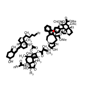 C/C=C(/C)C(=O)O[C@H]1C(C)=C2[C@H]([C@@H]1OC(=O)CCCCCCC)[C@@](C)(OC(C)=O)C[C@H](OC(=O)CCC)[C@@]1(O)[C@H]2OC(=O)[C@@]1(C)O.C=C1CC[C@H](O)C/C1=C/C=C1\CCC[C@]2(C)[C@@H]([C@H](C)CCCC(C)C)CC[C@@H]12.CC[C@]1(O)C[C@H]2C[N@](CCc3c([nH]c4ccccc34)[C@@](C(=O)OC)(c3cc4c(cc3OC)N(C=O)[C@H]3[C@@](O)(C(=O)OC)[C@H](OC(C)=O)[C@]5(CC)C=CCN6CC[C@]43[C@@H]65)C2)C1